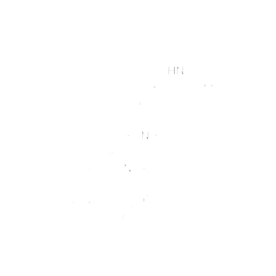 COC(=O)C(c1ccccc1)N1CCN(c2ccc(NC(C)=O)cc2)CC1